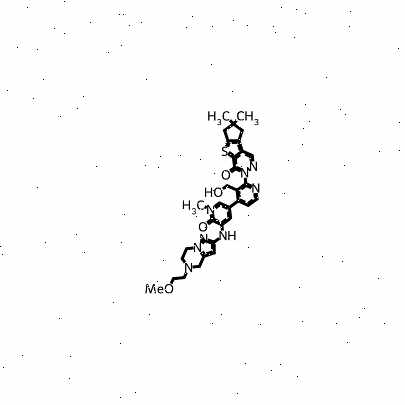 COCCN1CCn2nc(Nc3cc(-c4ccnc(-n5ncc6c7c(sc6c5=O)CC(C)(C)C7)c4CO)cn(C)c3=O)cc2C1